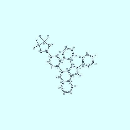 CC1(C)OB(c2ccc(-c3nc4ccccc4c4sc(-c5ccccc5)c(-c5ccccc5)c34)cc2)OC1(C)C